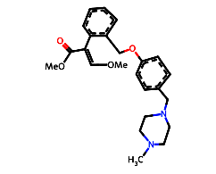 CO/C=C(/C(=O)OC)c1ccccc1COc1ccc(CN2CCN(C)CC2)cc1